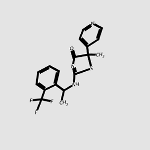 CC(NC1=NC(=O)C(C)(c2ccncc2)S1)c1ccccc1C(F)(F)F